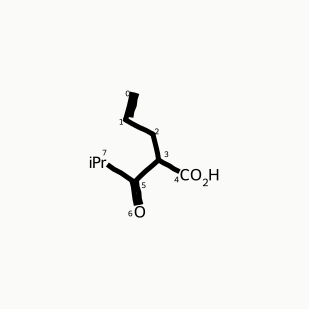 C=CCC(C(=O)O)C(=O)C(C)C